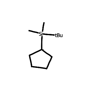 CC(C)(C)[Si](C)(C)[C]1CCCC1